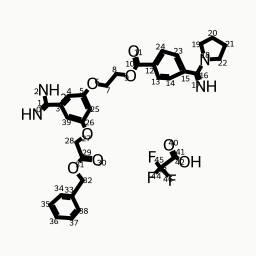 N=C(N)c1cc(OCCOC(=O)c2ccc(C(=N)N3CCCC3)cc2)cc(OCC(=O)OCc2ccccc2)c1.O=C(O)C(F)(F)F